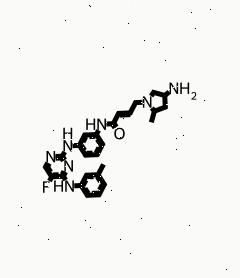 Cc1cccc(Nc2nc(Nc3cccc(NC(=O)/C=C/CN4CC(N)CC4C)c3)ncc2F)c1